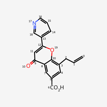 C=CCc1cc(C(=O)O)cc2c(=O)cc(-c3cccnc3)oc12